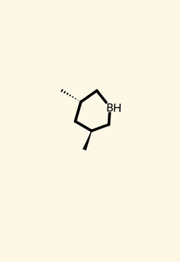 C[C@@H]1CBC[C@@H](C)C1